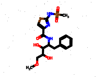 COCC(O)C(O)C(Cc1ccccc1)NC(=O)c1csc(NS(C)(=O)=O)n1